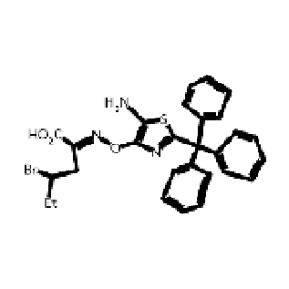 CCC(Br)CC(=NOc1nc(C(c2ccccc2)(c2ccccc2)c2ccccc2)sc1N)C(=O)O